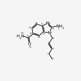 CC/C=C/Cn1c(N)nc2ccc(C(N)=O)cc21